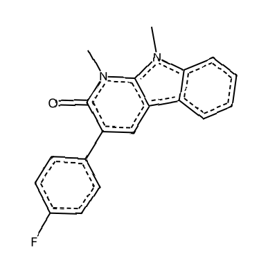 Cn1c(=O)c(-c2ccc(F)cc2)cc2c3ccccc3n(C)c21